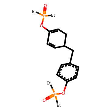 CCP(=O)(CC)OC1=CCC(Cc2ccc(OP(=O)(CC)CC)cc2)C=C1